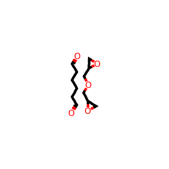 C(OCC1CO1)C1CO1.O=CCCCCC=O